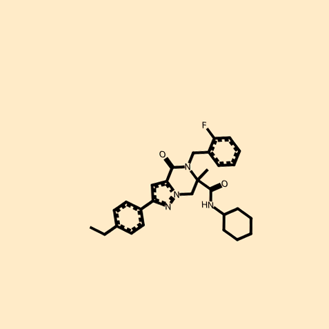 CCc1ccc(-c2cc3n(n2)CC(C)(C(=O)NC2CCCCC2)N(Cc2ccccc2F)C3=O)cc1